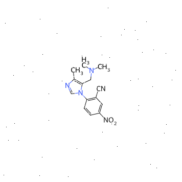 Cc1ncn(-c2ccc([N+](=O)[O-])cc2C#N)c1CN(C)C